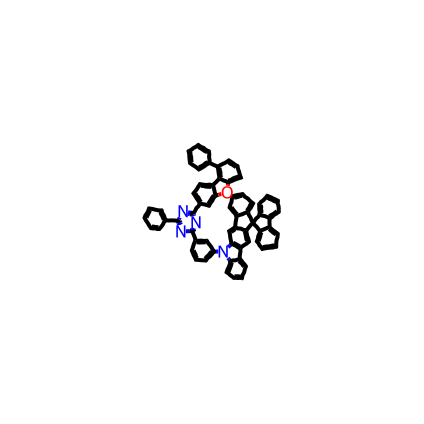 c1ccc(-c2nc(-c3cccc(-n4c5ccccc5c5cc6c(cc54)-c4ccccc4C64c5ccccc5-c5ccccc54)c3)nc(-c3ccc4c(c3)oc3cccc(-c5ccccc5)c34)n2)cc1